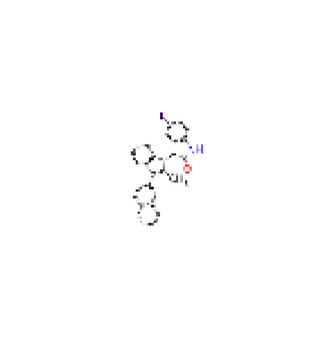 CC1=C(c2ccc3ccccc3c2)c2ccccc2C1C1C(=O)Nc2ccc(I)cc21